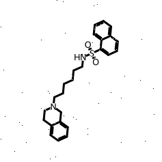 O=S(=O)(NCCCCCCN1CCc2ccccc2C1)c1cccc2ccccc12